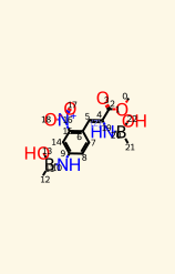 COC(=O)/C(=C/c1ccc(NB(C)O)cc1[N+](=O)[O-])NB(C)O